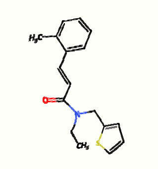 CCN(Cc1cccs1)C(=O)C=Cc1ccccc1C